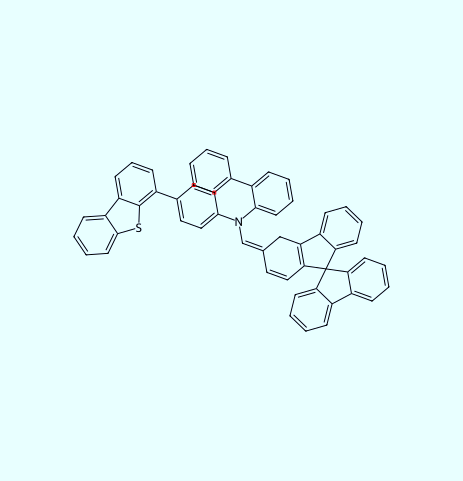 C1=C/C(=C/N(c2ccc(-c3cccc4c3sc3ccccc34)cc2)c2ccccc2-c2ccccc2)CC2=C1C1(c3ccccc32)c2ccccc2-c2ccccc21